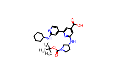 CC(C)(C)OC(=O)N1CC[C@H](Nc2cc(C(=O)O)cc(-c3ccnc(NC4CCCCC4)c3)n2)C1